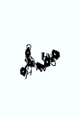 COc1ccc(N(C)C(=O)[C@H](Cc2ccccc2)NC(=O)Cn2cc(-c3ccc(NC(=O)c4ccccc4)cc3)nn2)cc1